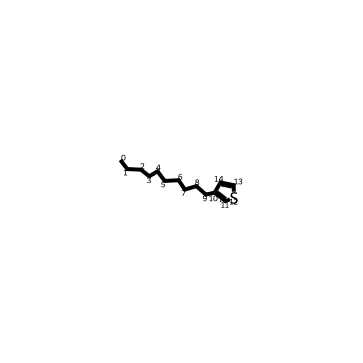 CCCCCCCCCCc1[c]scc1